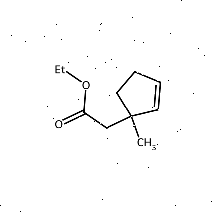 CCOC(=O)CC1(C)C=CCC1